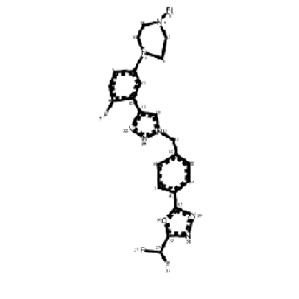 CCN1CCN(c2ccc(F)c(-c3cn(Cc4ccc(-c5nnc(C(F)F)o5)cc4)nn3)c2)CC1